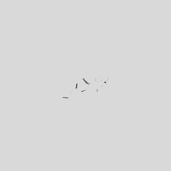 FC(F)(F)Oc1ccc(N2C=CCC2)cc1